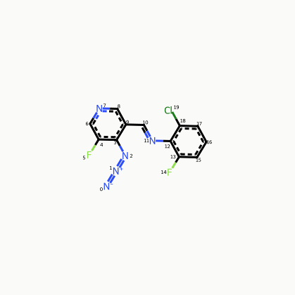 [N-]=[N+]=Nc1c(F)cncc1/C=N/c1c(F)cccc1Cl